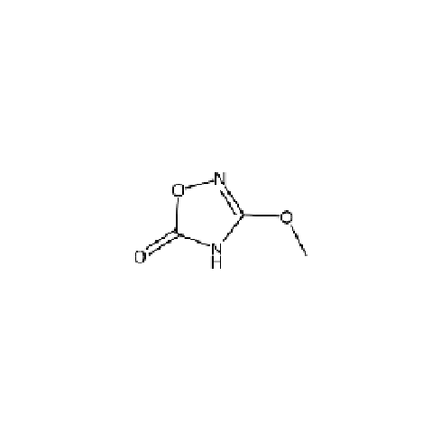 COc1noc(=O)[nH]1